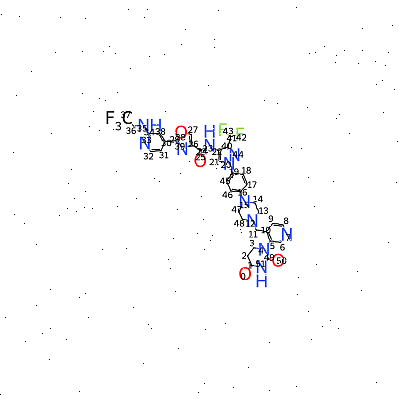 O=C1CCN(c2cnccc2CN2CCN(c3ccc(-n4cc(NC(=O)c5coc(-c6ccnc(NCC(F)(F)F)c6)n5)c(C(F)F)n4)cc3)CC2)C(=O)N1